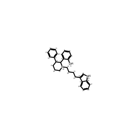 Oc1ccccc1C1C(c2ccccc2)CCCN1CCCCc1c[nH]c2ccccc12